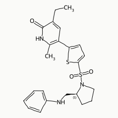 CCc1cc(-c2ccc(S(=O)(=O)N3CCC[C@H]3CNc3ccccc3)s2)c(C)[nH]c1=O